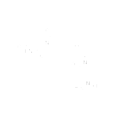 C[N+](C)=CC(Cc1ccccc1)C(=O)N1CCCC[C@H]1COc1ccc2c(c1)CN(C1CCC(=O)NC1=O)C2=O